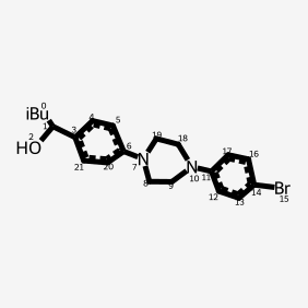 CCC(C)C(O)c1ccc(N2CCN(c3ccc(Br)cc3)CC2)cc1